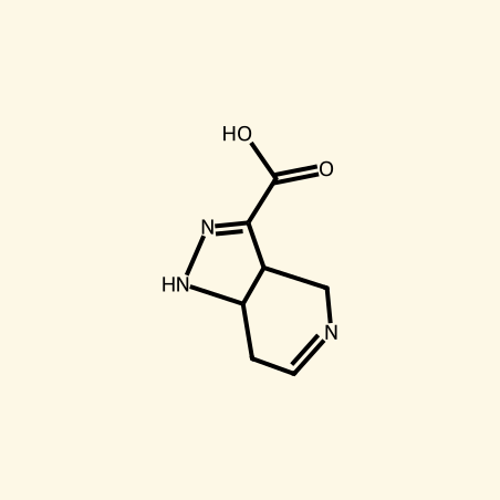 O=C(O)C1=NNC2CC=NCC12